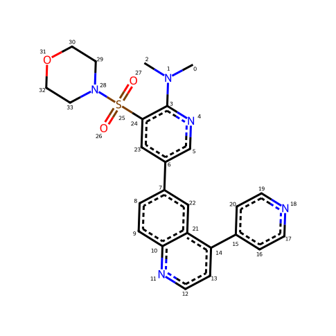 CN(C)c1ncc(-c2ccc3nccc(-c4ccncc4)c3c2)cc1S(=O)(=O)N1CCOCC1